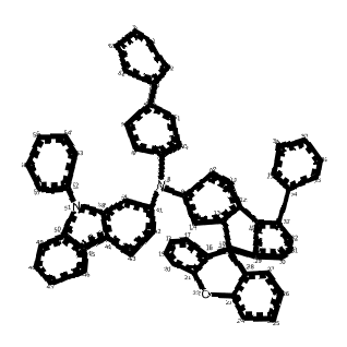 c1ccc(-c2ccc(N(c3ccc4c(c3)C3(c5ccccc5Oc5ccccc53)c3cccc(-c5ccccc5)c3-4)c3ccc4c5ccccc5n(-c5ccccc5)c4c3)cc2)cc1